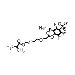 C=C(C)C(=O)OCCOCCOCCC(=O)Oc1c(F)c(F)c(S(=O)(=O)[O-])c(F)c1F.[Na+]